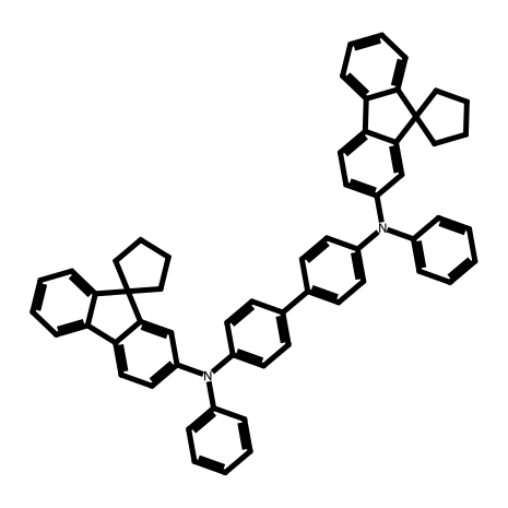 c1ccc(N(c2ccc(-c3ccc(N(c4ccccc4)c4ccc5c(c4)C4(CCCC4)c4ccccc4-5)cc3)cc2)c2ccc3c(c2)C2(CCCC2)c2ccccc2-3)cc1